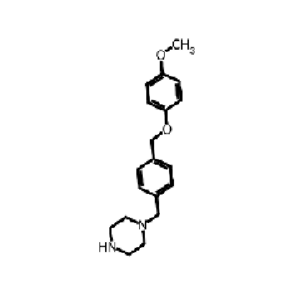 COc1ccc(OCc2ccc(CN3CCNCC3)cc2)cc1